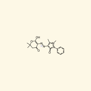 Cc1c(/N=N/C2=C(O)OC(C)(C)CC2=O)c(=O)n(-c2ccccc2)n1C